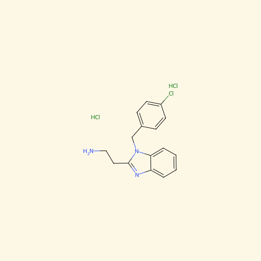 Cl.Cl.NCCc1nc2ccccc2n1Cc1ccc(Cl)cc1